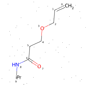 C=CCOCCC(=O)NC(C)C